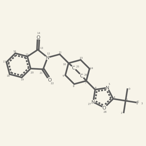 CC(C)(F)c1nc(C23CCC(CN4C(=O)c5ccccc5C4=O)(CC2)CC3)no1